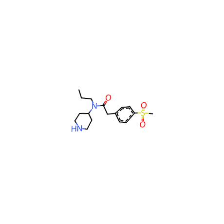 CCCN(C(=O)Cc1ccc(S(C)(=O)=O)cc1)C1CCNCC1